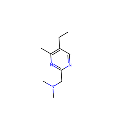 CCc1[c]nc(CN(C)C)nc1C